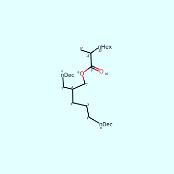 CCCCCCCCCCCCCC(CCCCCCCCCCC)COC(=O)C(C)CCCCCC